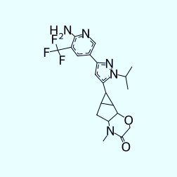 CC(C)n1nc(-c2cnc(N)c(C(F)(F)F)c2)cc1C1C2CC3C(OCC(=O)N3C)C21